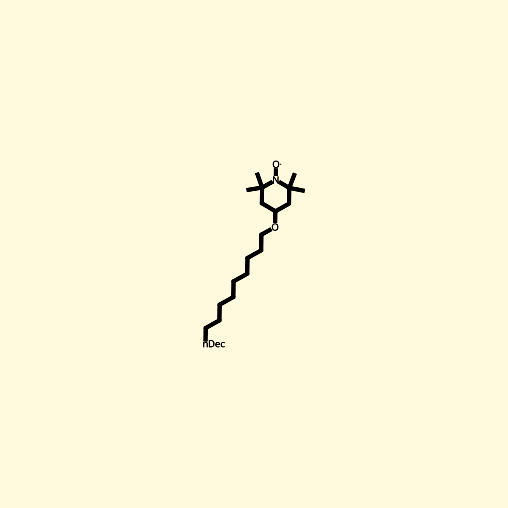 CCCCCCCCCCCCCCCCCCCOC1CC(C)(C)N([O])C(C)(C)C1